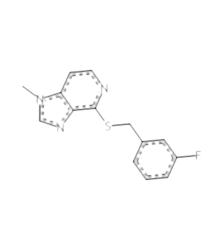 Cn1cnc2c(SCc3cccc(F)c3)nccc21